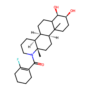 CC12CC[C@H](O)[C@H](O)C1CC[C@H]1[C@@H]2CC[C@@]2(C)[C@H]1CCCN2C(=O)C1=C(F)CCCC1